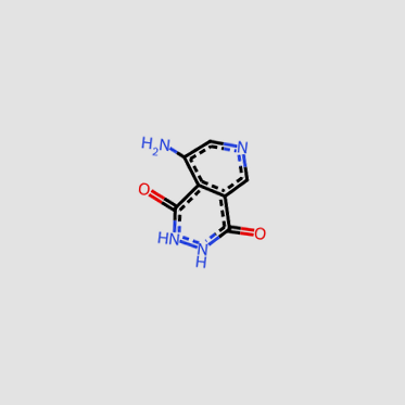 Nc1cncc2c(=O)[nH][nH]c(=O)c12